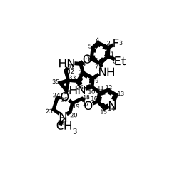 CCc1c(F)cccc1Nc1c(-c2ccncc2OCC2CN(C)CCO2)[nH]c2c1C(=O)NCC21CC1